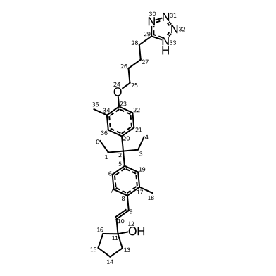 CCC(CC)(c1ccc(C=CC2(O)CCCC2)c(C)c1)c1ccc(OCCCCc2nnn[nH]2)c(C)c1